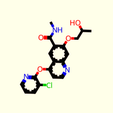 CNC(=O)c1cc2c(Oc3ncccc3Cl)ccnc2cc1OCC(C)O